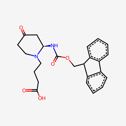 O=C(O)CCCN1CCC(=O)C[C@H]1NC(=O)OCC1c2ccccc2-c2ccccc21